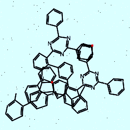 Cc1ccccc1-c1ccc2c(c1)c1ccccc1n2-c1cccc(-c2nc(-c3ccccc3)nc(-c3ccccc3)n2)c1-c1cccc(-c2c(-c3nc(-c4ccccc4)nc(-c4ccccc4)n3)cccc2-n2c3ccccc3c3cc(-c4ccccc4C)ccc32)c1